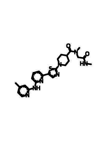 CNC(=O)CN(C)C(=O)C1CCN(c2ncc(-c3cccc(Nc4cc(C)ccn4)n3)s2)CC1